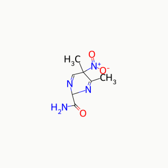 CC1=NC(C(N)=O)N=CC1(C)[N+](=O)[O-]